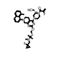 C=C(F)C(=O)N1CCN(c2nc(OCSC(C)(C)N(C)CC3(F)CC3)nc3c2CCN(c2cccc4cccc(C)c24)C3)C[C@@H]1CC#N